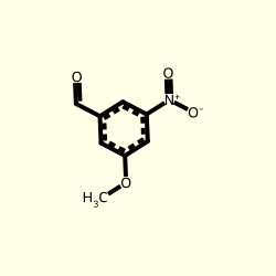 COc1cc(C=O)cc([N+](=O)[O-])c1